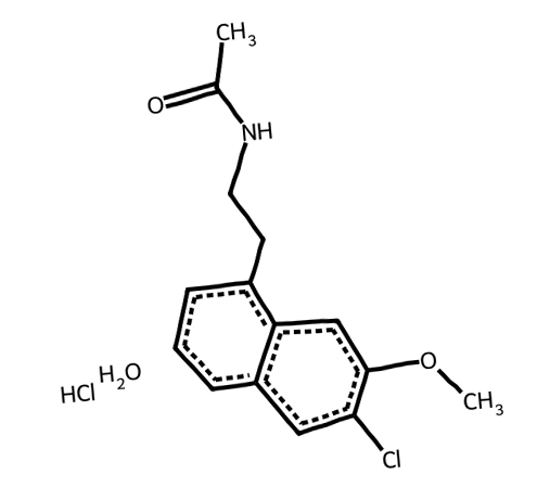 COc1cc2c(CCNC(C)=O)cccc2cc1Cl.Cl.O